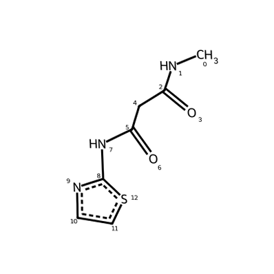 CNC(=O)CC(=O)Nc1nccs1